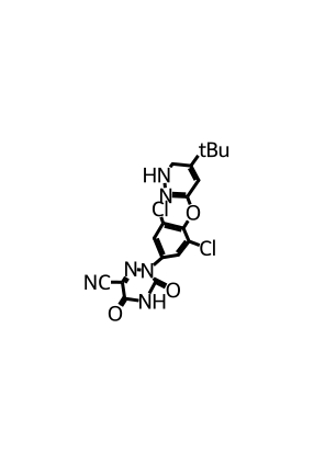 CC(C)(C)C1=CC(Oc2c(Cl)cc(-n3nc(C#N)c(=O)[nH]c3=O)cc2Cl)=NNC1